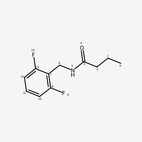 CCCC(=O)NCc1c(F)cccc1F